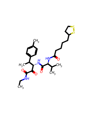 CCNC(=O)C(=O)[C@@H](NC(=O)[C@@H](NC(=O)CCCCC1CCSS1)C(C)C)C(C)c1ccc(C)cc1